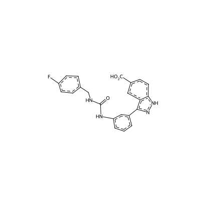 O=C(NCc1ccc(F)cc1)Nc1cccc(-c2n[nH]c3ccc(C(=O)O)cc23)c1